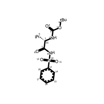 CC(C)[C@H](NC(=O)OC(C)(C)C)C(=O)NS(=O)(=O)c1ccccc1